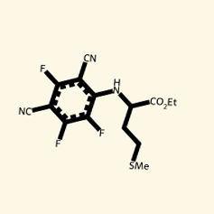 CCOC(=O)C(CCSC)Nc1c(F)c(F)c(C#N)c(F)c1C#N